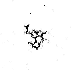 CC(=O)c1sc2nc(NC3CC3)nc(-c3c(F)cccc3F)c2c1N